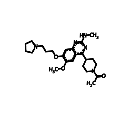 CNc1nc(C2CCN(C(C)=O)CC2)c2cc(OC)c(OCCCN3CCCC3)cc2n1